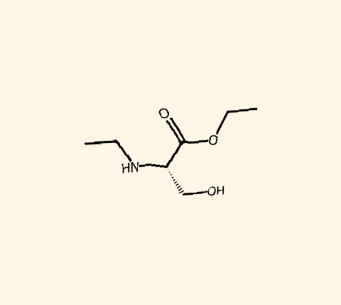 CCN[C@@H](CO)C(=O)OCC